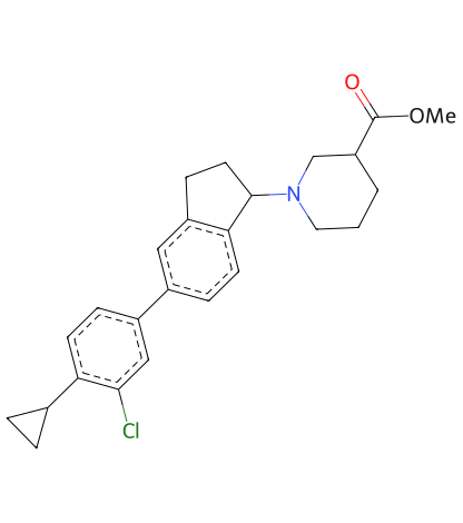 COC(=O)C1CCCN(C2CCc3cc(-c4ccc(C5CC5)c(Cl)c4)ccc32)C1